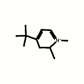 CC1CC(C(C)(C)C)=CC=[N+]1C